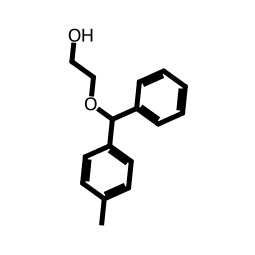 Cc1ccc(C(OCCO)c2ccccc2)cc1